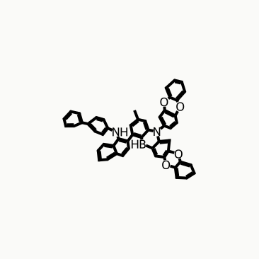 Cc1cc(-c2ccc3ccccc3c2Nc2ccc(-c3ccccc3)cc2)c2c(c1)N(c1ccc3c(c1)Oc1ccccc1O3)c1cc3c(cc1B2)Oc1ccccc1O3